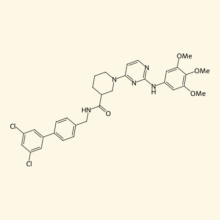 COc1cc(Nc2nccc(N3CCCC(C(=O)NCc4ccc(-c5cc(Cl)cc(Cl)c5)cc4)C3)n2)cc(OC)c1OC